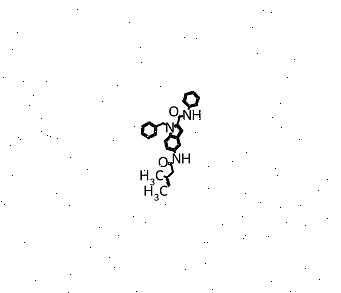 C/C=C(\C)CC(=O)Nc1ccc2c(c1)cc(C(=O)Nc1ccccc1)n2Cc1ccccc1